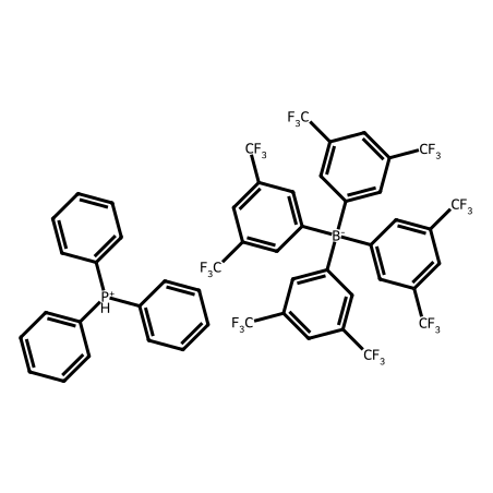 FC(F)(F)c1cc([B-](c2cc(C(F)(F)F)cc(C(F)(F)F)c2)(c2cc(C(F)(F)F)cc(C(F)(F)F)c2)c2cc(C(F)(F)F)cc(C(F)(F)F)c2)cc(C(F)(F)F)c1.c1ccc([PH+](c2ccccc2)c2ccccc2)cc1